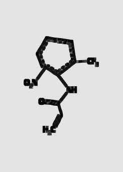 C=CC(=O)Nc1c([N+](=O)[O-])cccc1C(F)(F)F